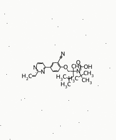 C=Cc1nccc(-c2ccc(OCC(C)(CC(C)C)N(C(=O)O)C(C)(C)C)c(C#N)c2)n1